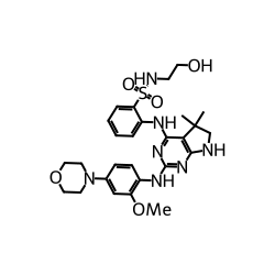 COc1cc(N2CCOCC2)ccc1Nc1nc2c(c(Nc3ccccc3S(=O)(=O)NCCO)n1)C(C)(C)CN2